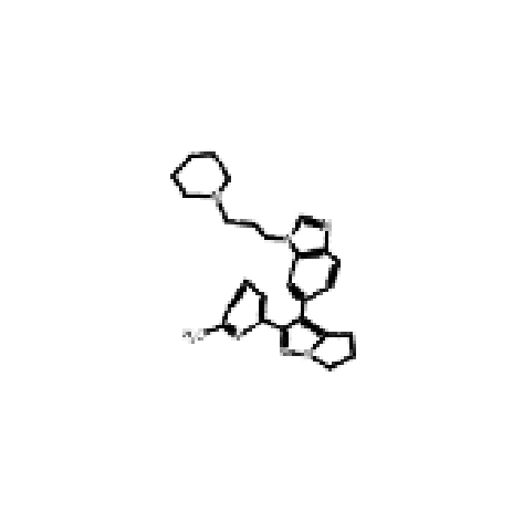 Cc1cccc(-c2nn3c(c2-c2ccc4ncn(CCCN5CCCCC5)c4c2)CCC3)n1